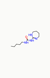 CCCCCNC(=O)NC1=NCCCCN1